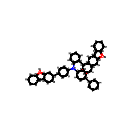 c1ccc(-c2ccc(N(c3ccc(-c4ccc5c(c4)oc4ccccc45)cc3)c3ccccc3-c3cccc4cc5oc6ccccc6c5cc34)cc2)cc1